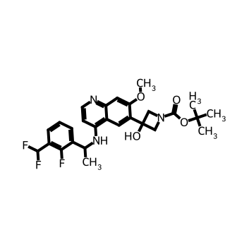 COc1cc2nccc(NC(C)c3cccc(C(F)F)c3F)c2cc1C1(O)CN(C(=O)OC(C)(C)C)C1